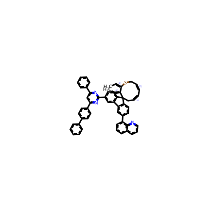 C/C=C1\C(=C/C)SC/C=C\C=C/CC12c1ccc(-c3nc(-c4ccccc4)cc(-c4ccc(-c5ccccc5)cc4)n3)cc1-c1cc(-c3cccc4cccnc34)ccc12